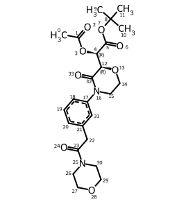 CC(=O)O[C@@H](C(=O)OC(C)(C)C)[C@H]1OCCN(c2cccc(CC(=O)N3CCOCC3)c2)C1=O